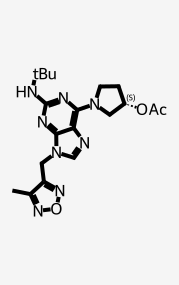 CC(=O)O[C@H]1CCN(c2nc(NC(C)(C)C)nc3c2ncn3Cc2nonc2C)C1